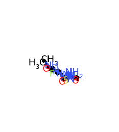 CC(C)CCNC(=O)c1ccc(N2CCN(CCn3c(=O)sc4c3nc(N)n3nc(-c5ccco5)nc43)CC2)c(F)c1